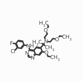 CCOCCN(CCOCC)C(C)(C)c1cc2c(Nc3ccc(F)c(Cl)c3)ncnc2cc1OCC